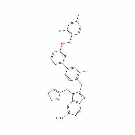 Cc1ccc(COc2cccc(-c3ccc(Cc4nc5ccc(C(=O)O)cc5n4Cc4cscn4)c(F)c3)n2)c(F)c1